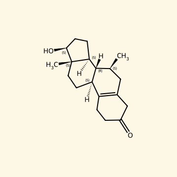 C[C@H]1CC2=C(CCC(=O)C2)[C@H]2CC[C@]3(C)[C@@H](O)CC[C@H]3[C@@H]21